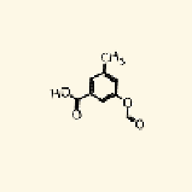 Cc1cc(OC=O)cc(C(=O)O)c1